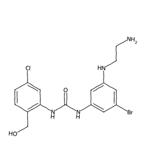 NCCNc1cc(Br)cc(NC(=O)Nc2cc(Cl)ccc2CO)c1